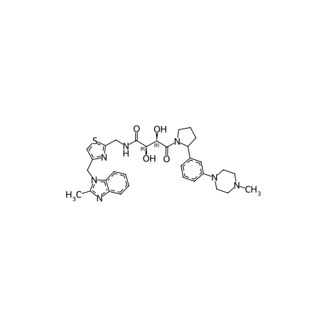 Cc1nc2ccccc2n1Cc1csc(CNC(=O)[C@H](O)[C@@H](O)C(=O)N2CCCC2c2cccc(N3CCN(C)CC3)c2)n1